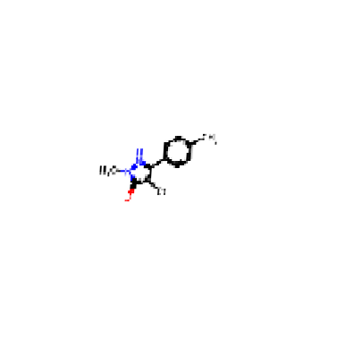 CCc1c(-c2ccc(C)cc2)[nH]n(C)c1=O